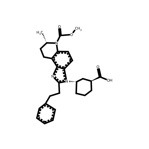 COC(=O)N1c2ccc3c(nc(CCc4ccccc4)n3[C@H]3CCC[C@H](C(=O)O)C3)c2CC[C@@H]1C